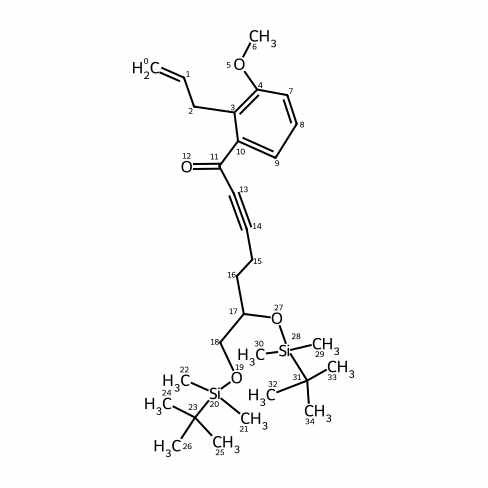 C=CCc1c(OC)cccc1C(=O)C#CCCC(CO[Si](C)(C)C(C)(C)C)O[Si](C)(C)C(C)(C)C